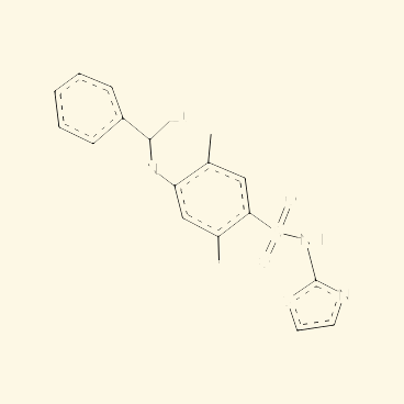 CCC(Nc1cc(F)c(S(=O)(=O)Nc2nccs2)cc1C)c1ccccc1